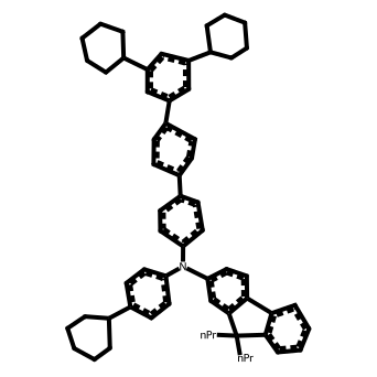 CCCC1(CCC)c2ccccc2-c2ccc(N(c3ccc(-c4ccc(-c5cc(C6CCCCC6)cc(C6CCCCC6)c5)cc4)cc3)c3ccc(C4CCCCC4)cc3)cc21